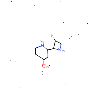 OC1CCNC(C2NCC2F)C1